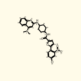 CN(C)c1cc(NC2CCC(NC(=O)c3ccc(-c4ccc(Cl)cc4[N+](=O)[O-])o3)CC2)nc2ccccc12